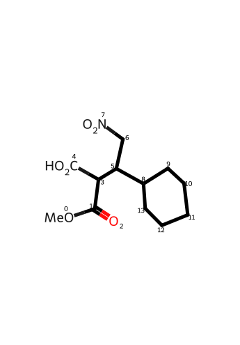 COC(=O)C(C(=O)O)C(C[N+](=O)[O-])C1CCCCC1